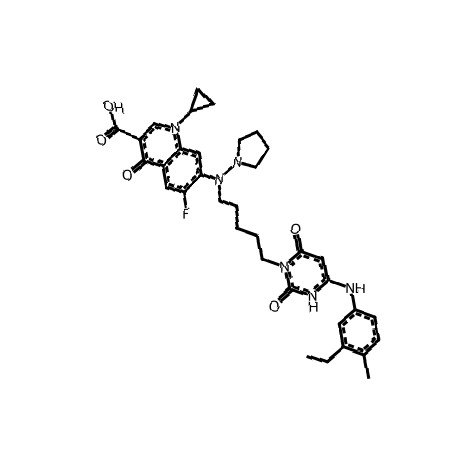 CCc1cc(Nc2cc(=O)n(CCCCCN(c3cc4c(cc3F)c(=O)c(C(=O)O)cn4C3CC3)N3CCCC3)c(=O)[nH]2)ccc1C